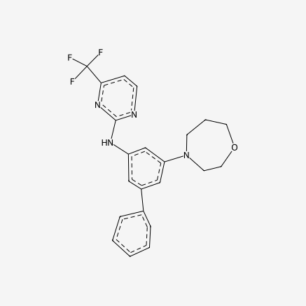 FC(F)(F)c1ccnc(Nc2cc(-c3ccccc3)cc(N3CCCOCC3)c2)n1